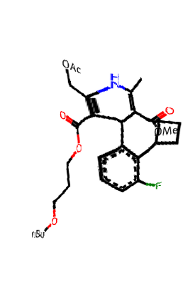 CCCCOCCCOC(=O)C1=C(COC(C)=O)NC(C)=C(C(=O)OC)C1c1cccc(F)c1C1CCC1